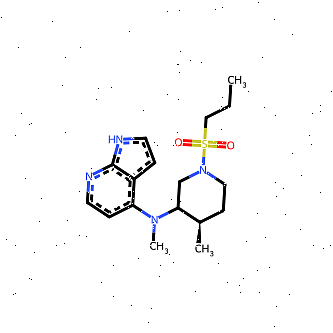 CCCS(=O)(=O)N1CC[C@@H](C)C(N(C)c2ccnc3[nH]ccc23)C1